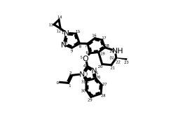 CC=Cn1c(Oc2c(-c3cnn(C4CC4)c3)ccc3c2CC[C@H](C)N3)nc2ccccc21